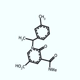 CNC(=O)c1cc(C(=O)O)cn(C(C)c2cccc(C)c2)c1=O